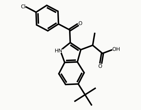 CC(C(=O)O)c1c(C(=O)c2ccc(Cl)cc2)[nH]c2ccc(C(C)(C)C)cc12